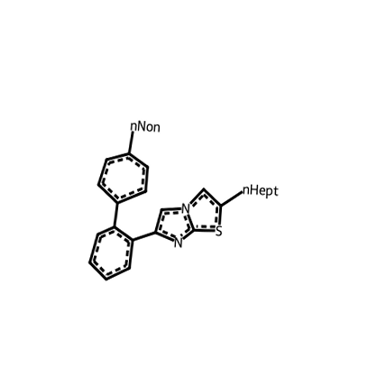 CCCCCCCCCc1ccc(-c2ccccc2-c2cn3cc(CCCCCCC)sc3n2)cc1